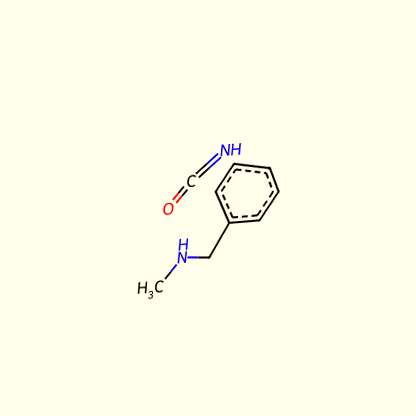 CNCc1ccccc1.N=C=O